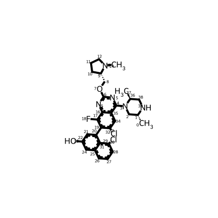 C[C@@H]1CN(c2nc(OC[C@@H]3CCCN3C)nc3c(F)c(-c4cc(O)cc5cccc(Cl)c45)c(Cl)cc23)[C@@H](C)CN1